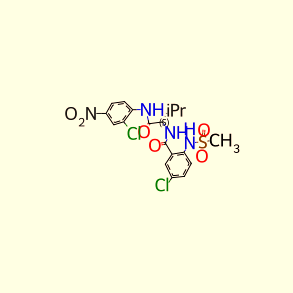 CC(C)[C@H](NC(=O)c1cc(Cl)ccc1NS(C)(=O)=O)C(=O)Nc1ccc([N+](=O)[O-])cc1Cl